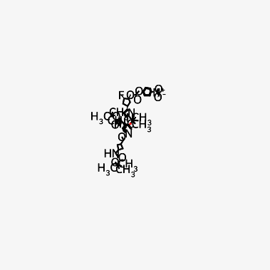 CC(C)(C)OC(=O)NC1CC(COc2cc(N(C(=O)OC(C)(C)C)c3cc([C@H]4C[C@@H](F)[C@@H](OC(=O)Oc5ccc([N+](=O)[O-])cc5)C4)nn3C(C)(C)C)ccn2)C1